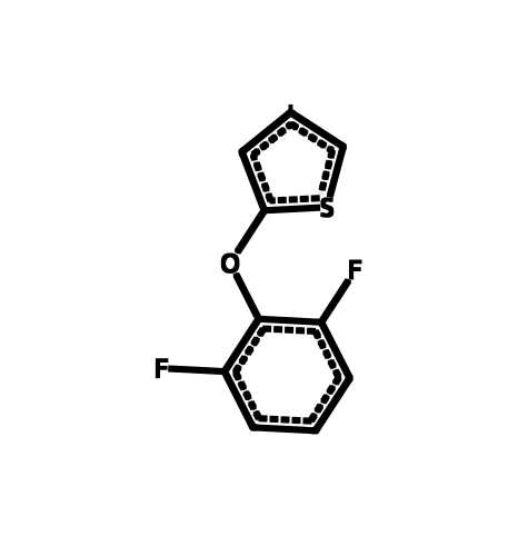 Fc1cccc(F)c1Oc1c[c]cs1